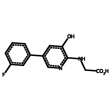 O=C(O)CNc1ncc(-c2cccc(F)c2)cc1O